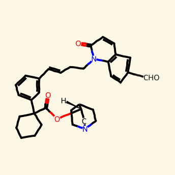 O=Cc1ccc2c(ccc(=O)n2CCC=Cc2cccc(C3(C(=O)O[C@H]4CN5CCC4CC5)CCCCC3)c2)c1